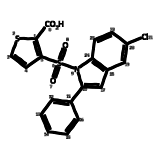 O=C(O)c1sccc1S(=O)(=O)n1c(-c2ccccc2)cc2cc(Cl)ccc21